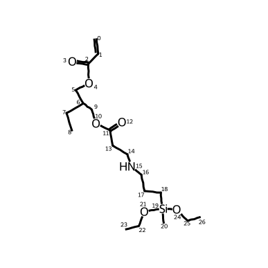 C=CC(=O)OCC(CC)COC(=O)CCNCCC[Si](C)(OCC)OCC